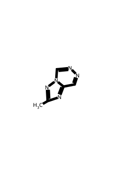 Cc1nc2cnncn2n1